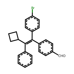 O=Cc1ccc(/C(=C(\c2ccccc2)C2CCC2)c2ccc(Br)cc2)cc1